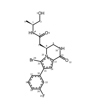 C[C@@H](CO)NC(=O)C[C@H]1CNC(=O)c2cc(-c3cccc(F)c3)c(Br)n21